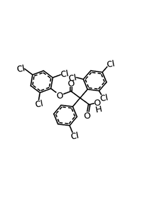 O=C(O)C(C(=O)Oc1c(Cl)cc(Cl)cc1Cl)(c1cccc(Cl)c1)c1c(Cl)cc(Cl)cc1Cl